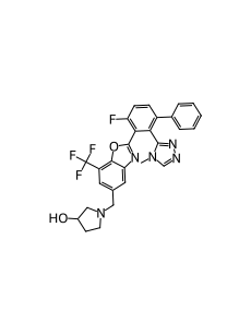 Cn1cnnc1-c1c(-c2ccccc2)ccc(F)c1-c1nc2cc(CN3CCC(O)C3)cc(C(F)(F)F)c2o1